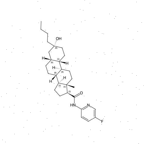 CCCC[C@@]1(O)CC[C@H]2[C@H](CC[C@@H]3[C@@H]2CC[C@]2(C)[C@@H](C(=O)Nc4ccc(F)cn4)CC[C@@H]32)C1